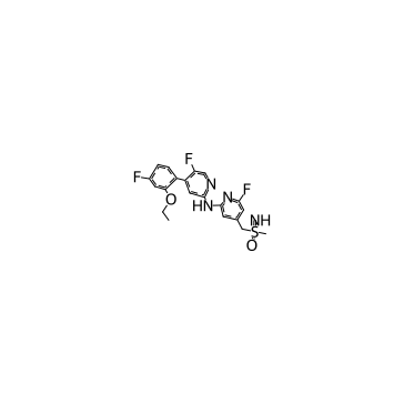 CCOc1cc(F)ccc1-c1cc(Nc2cc(CS(C)(=N)=O)cc(F)n2)ncc1F